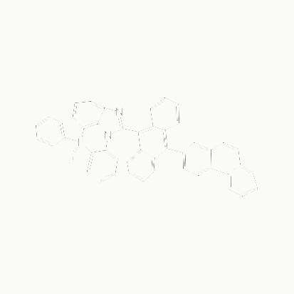 O=P1(c2ccccc2)c2ccccc2-n2c(-c3c4ccccc4c(-c4ccc5c(ccc6ccccc65)c4)c4ccccc34)nc3cccc1c32